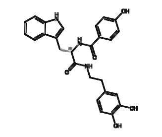 O=C(N[C@@H](Cc1c[nH]c2ccccc12)C(=O)NCCc1ccc(O)c(O)c1)c1ccc(O)cc1